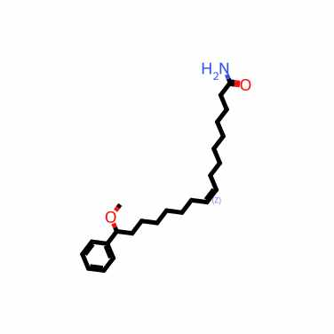 COC(CCCCCC/C=C\CCCCCCCC(N)=O)c1ccccc1